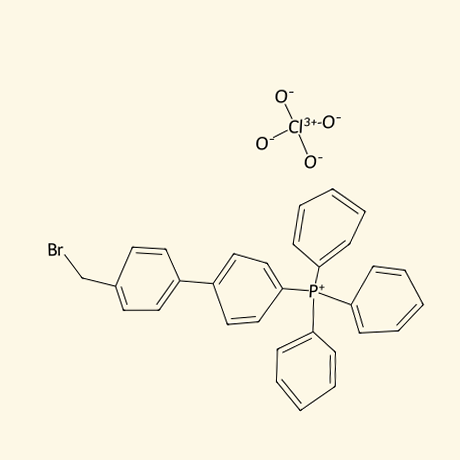 BrCc1ccc(-c2ccc([P+](c3ccccc3)(c3ccccc3)c3ccccc3)cc2)cc1.[O-][Cl+3]([O-])([O-])[O-]